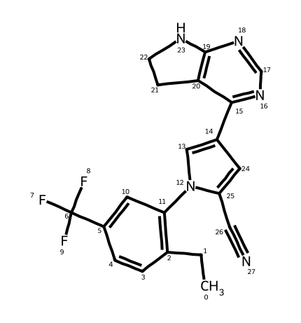 CCc1ccc(C(F)(F)F)cc1-n1cc(-c2ncnc3c2CCN3)cc1C#N